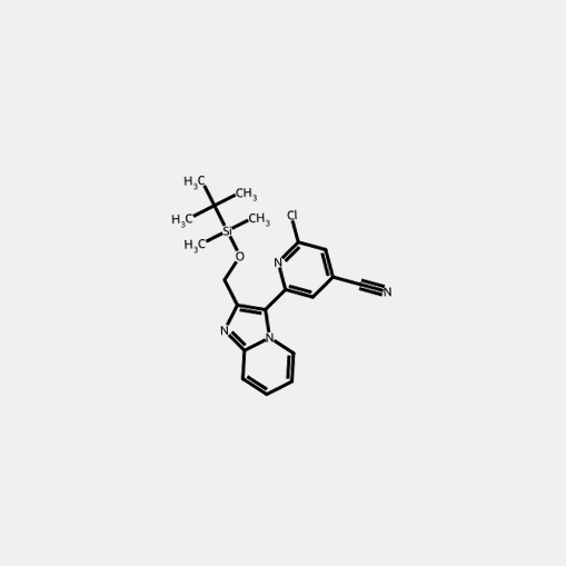 CC(C)(C)[Si](C)(C)OCc1nc2ccccn2c1-c1cc(C#N)cc(Cl)n1